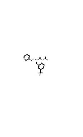 CC(C)C(=O)N1C(=O)N(NCc2cccnc2)Cc2cc(C(F)(C(F)(F)F)C(F)(F)F)ccc21